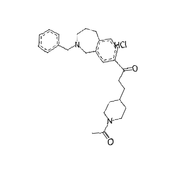 CC(=O)N1CCC(CCC(=O)c2ccc3c(c2)CN(Cc2ccccc2)CCC3)CC1.Cl